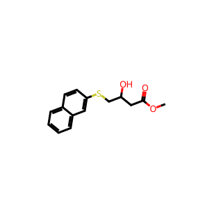 COC(=O)CC(O)CSc1ccc2ccccc2c1